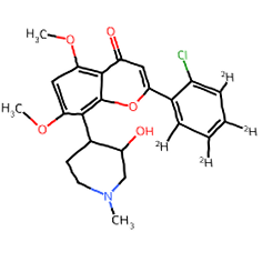 [2H]c1c([2H])c([2H])c(-c2cc(=O)c3c(OC)cc(OC)c(C4CCN(C)CC4O)c3o2)c(Cl)c1[2H]